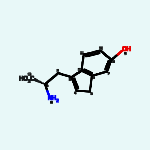 N[C@@H](CC1=CCc2cc(O)ccc21)C(=O)O